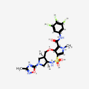 Cc1noc(N2C[C@H]3COc4c(cn(C)c4C(=O)Nc4cc(F)c(F)c(F)c4)S(=O)(=O)N[C@H]3C2)n1